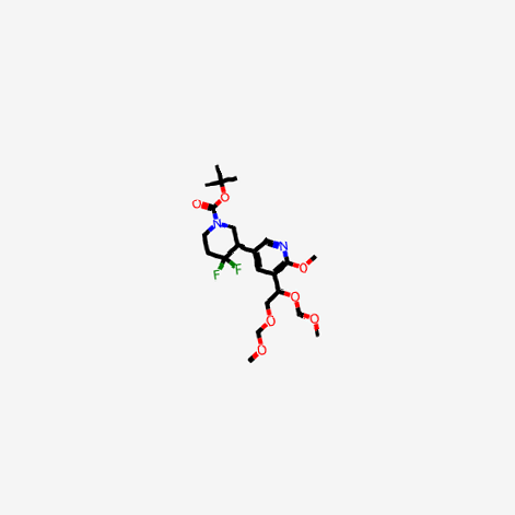 COCOCC(OCOC)c1cc(C2CN(C(=O)OC(C)(C)C)CCC2(F)F)cnc1OC